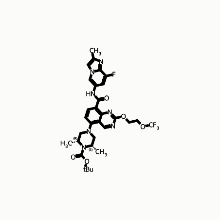 Cc1cn2cc(NC(=O)c3ccc(N4C[C@@H](C)N(C(=O)OC(C)(C)C)[C@@H](C)C4)c4cnc(OCCOC(F)(F)F)nc34)cc(F)c2n1